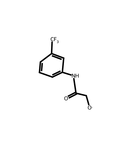 [O]CC(=O)Nc1cccc(C(F)(F)F)c1